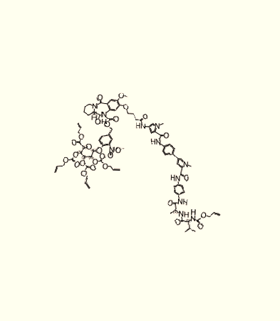 C=CCOC(=O)N[C@H](C(=O)N[C@@H](C)C(=O)Nc1ccc(NC(=O)c2cc(-c3ccc(NC(=O)c4cc(NC(=O)CCCOc5cc6c(cc5OC)C(=O)N5CCCC[C@H]5C(O)N6C(=O)OCc5ccc(O[C@@H]6O[C@H](C(=O)OCC=C)[C@@H](OC(=O)OCC=C)[C@H](OC(=O)OCC=C)[C@H]6OC(=O)OCC=C)c([N+](=O)[O-])c5)cn4C)cc3)cn2C)cc1)C(C)C